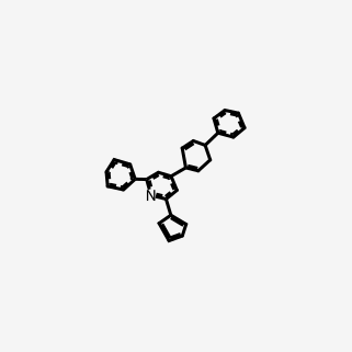 C1=CC=C(c2cc(C3=CCC(c4ccccc4)C=C3)cc(-c3ccccc3)n2)C=1